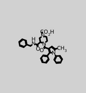 Cc1cc(C(=O)N2CCN(C(=O)O)CC2C(=O)NCc2ccccc2)c(-c2ccccc2)n1-c1ccccc1